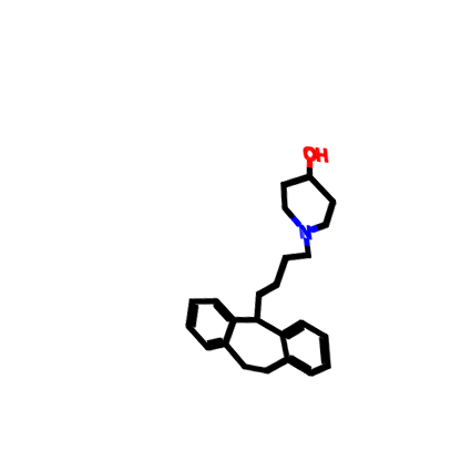 OC1CCN(CCCCC2c3ccccc3CCc3ccccc32)CC1